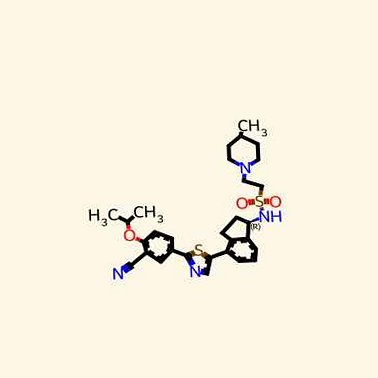 CC1CCN(CCS(=O)(=O)N[C@@H]2CCc3c(-c4cnc(-c5ccc(OC(C)C)c(C#N)c5)s4)cccc32)CC1